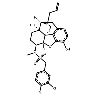 C=CCN1CC[C@]23c4c5ccc(O)c4O[C@H]2[C@@H](N(C)S(=O)(=O)Cc2ccc(Cl)c(Cl)c2)CC[C@@]3(O)[C@H]1C5